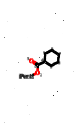 CCCC(C)OC(=O)C1CCCCC1